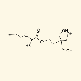 C=CCOC(S)C(=O)OCCC(CO)(CO)CO